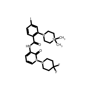 C[Si]1(C)CCN(c2cc(I)ccc2C(=O)Nc2cccn(N3CCC(F)(F)CC3)c2=O)CC1